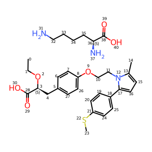 CCO[C@@H](Cc1ccc(OCCn2c(C)ccc2-c2ccc(SC)cc2)cc1)C(=O)O.NCCCC[C@H](N)C(=O)O